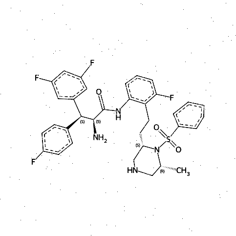 C[C@@H]1CNC[C@H](CCc2c(F)cccc2NC(=O)[C@@H](N)[C@@H](c2ccc(F)cc2)c2cc(F)cc(F)c2)N1S(=O)(=O)c1ccccc1